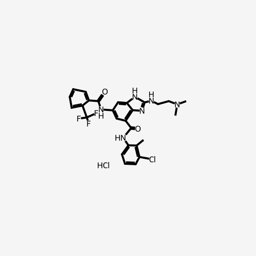 Cc1c(Cl)cccc1NC(=O)c1cc(NC(=O)c2ccccc2C(F)(F)F)cc2[nH]c(NCCN(C)C)nc12.Cl